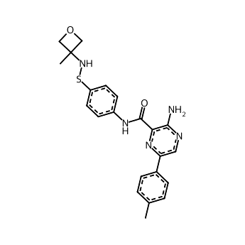 Cc1ccc(-c2cnc(N)c(C(=O)Nc3ccc(SNC4(C)COC4)cc3)n2)cc1